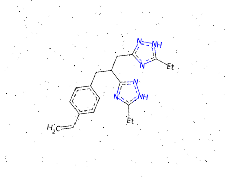 C=Cc1ccc(CC(Cc2n[nH]c(CC)n2)c2n[nH]c(CC)n2)cc1